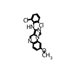 COc1ccc2ncc3c(Nc4c(Cl)cccc4Cl)ncn3c2c1